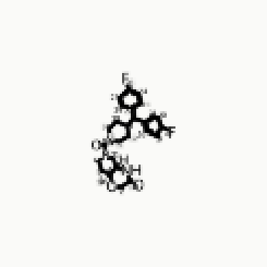 O=C1CO[C@H]2CCN(C(=O)N3CCC(C(c4ccc(F)cc4)c4ccc(F)cc4)CC3)C[C@@H]2N1